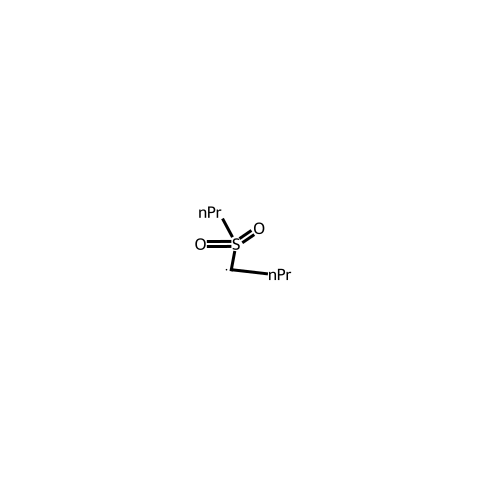 CCC[CH]S(=O)(=O)CCC